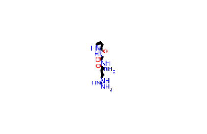 N=C(N)NCCC[C@H](N)C(=O)NC(=O)CNC(=O)[C@H]1CCCN1